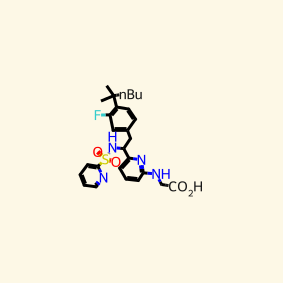 CCCCC(C)(C)c1ccc(CC(NS(=O)(=O)c2ccccn2)c2cccc(NCC(=O)O)n2)cc1F